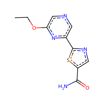 CCOc1cncc(-c2ncc(C(N)=O)s2)n1